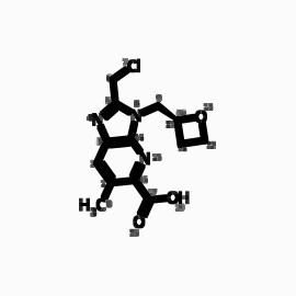 Cc1cc2nc(CCl)n(C[C@@H]3CCO3)c2nc1C(=O)O